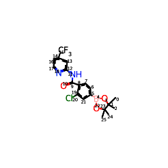 CC1(C)OB(c2ccc(C(=O)Nc3cc(C(F)(F)F)ccn3)c(Cl)c2)OC1(C)C